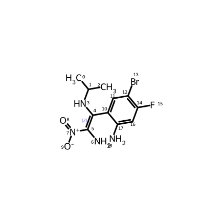 CC(C)N/C(=C(/N)[N+](=O)[O-])c1cc(Br)c(F)cc1N